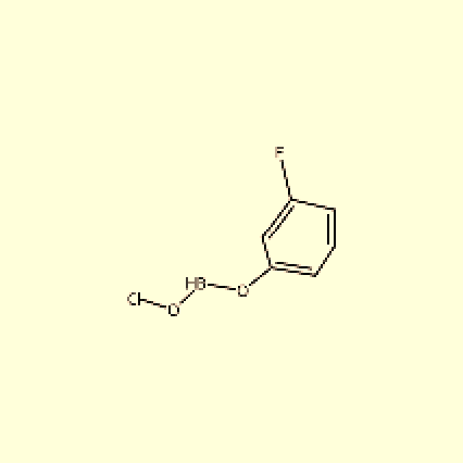 Fc1cccc(OBOCl)c1